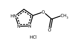 CC(=O)Oc1c[nH]nn1.Cl